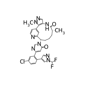 C[C@@H]1CCC[C@H](n2cnc(-c3cc(Cl)ccc3-c3cnn(C(F)F)c3)cc2=O)c2cc(ccn2)-c2c(cnn2C)NC1=O